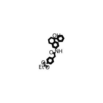 CCS(=O)(=O)c1ccc(CC(=O)Nc2ccc3c(c2)CCCC3(O)c2ccccc2)cc1